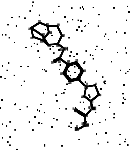 CC(C)NC(=O)N[C@@H]1CCN(c2ccc(C(=O)NC3CCC4CC5CC(C4)C3C5)cc2)C1